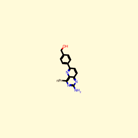 CCCc1nc(N)nc2ccc(-c3ccc(CO)cc3)nc12